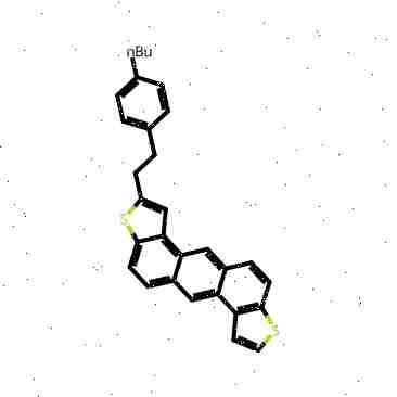 CCCCc1ccc(CCc2cc3c(ccc4cc5c(ccc6sccc65)cc43)s2)cc1